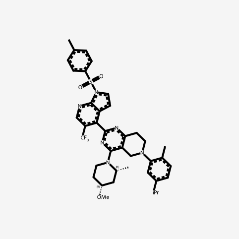 CO[C@@H]1CCN(c2nc(-c3c(C(F)(F)F)cnc4c3ccn4S(=O)(=O)c3ccc(C)cc3)nc3c2CN(c2cc(C(C)C)ccc2C)CC3)[C@H](C)C1